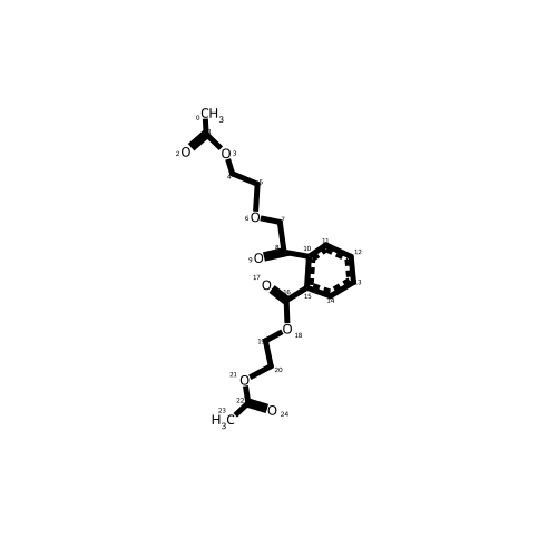 CC(=O)OCCOCC(=O)c1ccccc1C(=O)OCCOC(C)=O